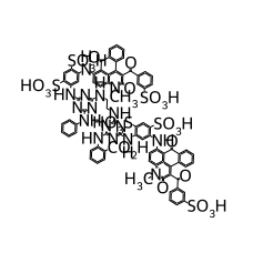 Cn1c(=O)c(C(=O)c2cccc(S(=O)(=O)O)c2)c2c3c(c(Nc4cc(Nc5nc(NCCNc6nc(Nc7ccccc7C(=O)O)nc(Nc7cc(Nc8ccc9c%10c8C(=O)c8ccccc8-c%10c(C(=O)c8cccc(S(=O)(=O)O)c8)c(=O)n9C)c(S(=O)(=O)O)cc7S(=O)(=O)O)n6)nc(Nc6ccccc6)n5)c(S(=O)(=O)O)cc4S(=O)(=O)O)ccc31)C(=O)c1ccccc1-2